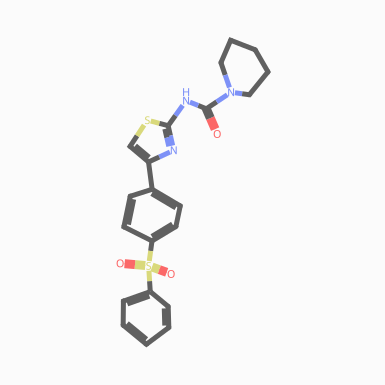 O=C(Nc1nc(-c2ccc(S(=O)(=O)c3ccccc3)cc2)cs1)N1CCCCC1